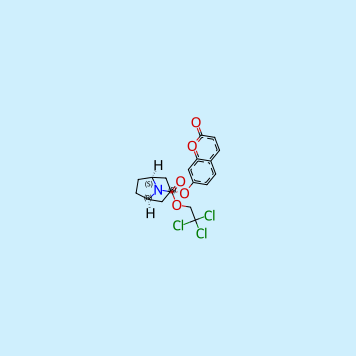 O=C(OCC(Cl)(Cl)Cl)N1[C@@H]2CC[C@H]1C[C@H](Oc1ccc3ccc(=O)oc3c1)C2